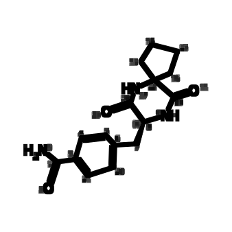 NC(=O)c1ccc(C[C@@H]2NC(=O)C3(CCCC3)NC2=O)cc1